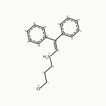 ClCCC[SiH2]C=C(c1ccccc1)c1ccccc1